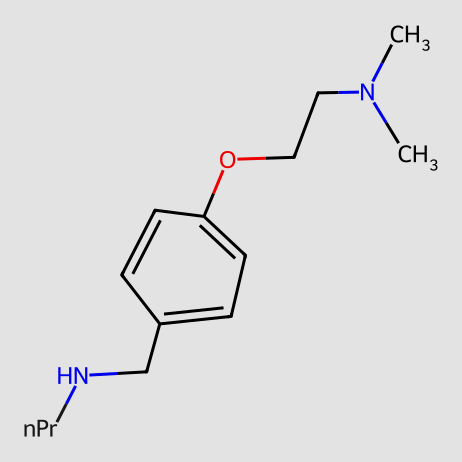 CCCNCc1ccc(OCCN(C)C)cc1